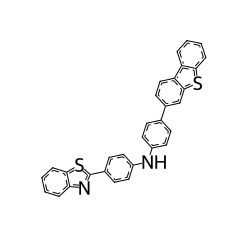 c1ccc2sc(-c3ccc(Nc4ccc(-c5ccc6c(c5)sc5ccccc56)cc4)cc3)nc2c1